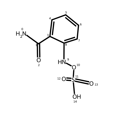 NC(=O)c1ccccc1NOS(=O)(=O)O